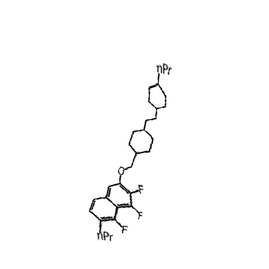 CCCc1ccc2cc(OCC3CCC(CCC4CCC(CCC)CC4)CC3)c(F)c(F)c2c1F